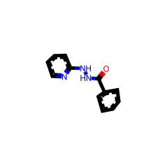 O=C(NNc1ccccn1)c1cc[c]cc1